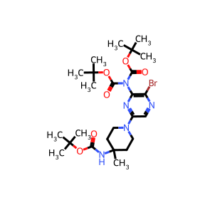 CC1(NC(=O)OC(C)(C)C)CCN(c2cnc(Br)c(N(C(=O)OC(C)(C)C)C(=O)OC(C)(C)C)n2)CC1